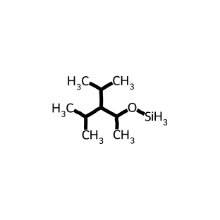 CC(C)C(C(C)C)C(C)O[SiH3]